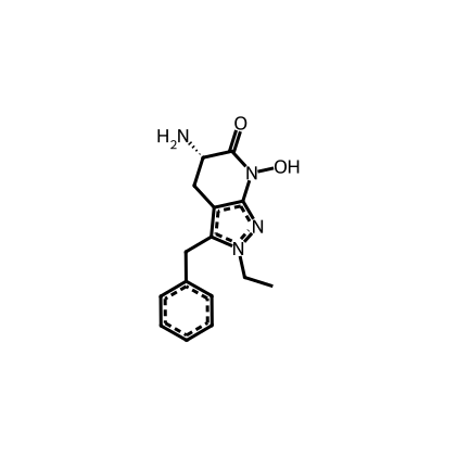 CCn1nc2c(c1Cc1ccccc1)C[C@H](N)C(=O)N2O